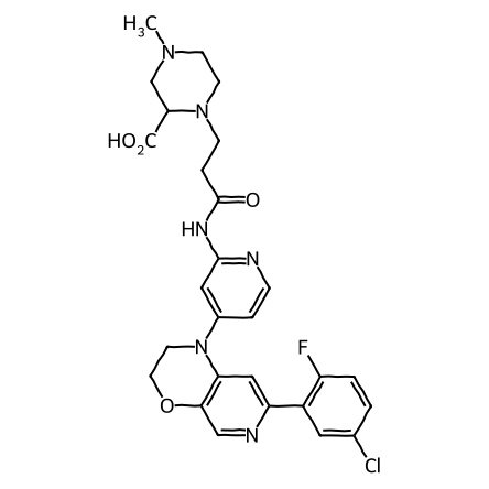 CN1CCN(CCC(=O)Nc2cc(N3CCOc4cnc(-c5cc(Cl)ccc5F)cc43)ccn2)C(C(=O)O)C1